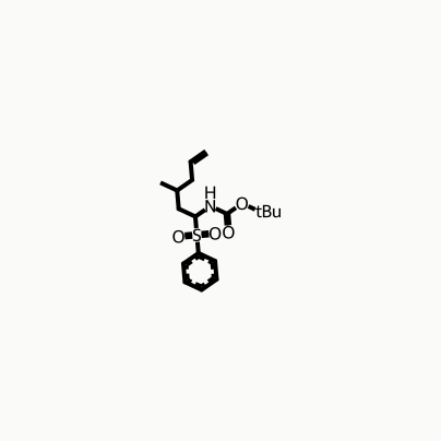 C=CCC(C)CC(NC(=O)OC(C)(C)C)S(=O)(=O)c1ccccc1